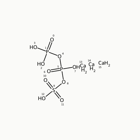 O=P(O)(O)OP(=O)(O)OS(=O)(=O)O.[CaH2].[CaH2].[CaH2]